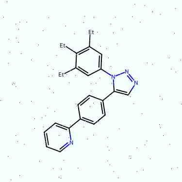 CCc1cc(-n2nncc2-c2ccc(-c3ccccn3)cc2)cc(CC)c1CC